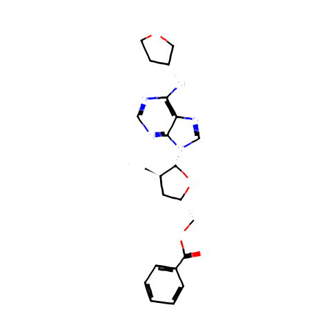 CC(=O)O[C@@H]1C[C@@H](COC(=O)c2ccccc2)O[C@H]1n1cnc2c(N[C@@H]3CCOC3)ncnc21